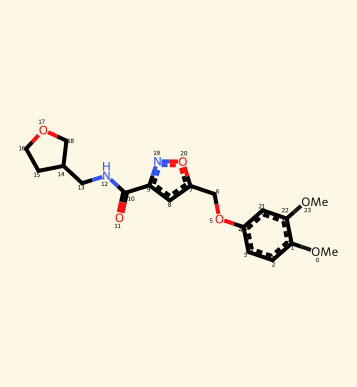 COc1ccc(OCc2cc(C(=O)NCC3CCOC3)no2)cc1OC